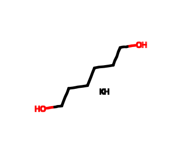 OCCCCCCO.[KH]